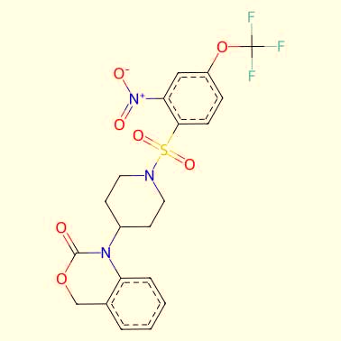 O=C1OCc2ccccc2N1C1CCN(S(=O)(=O)c2ccc(OC(F)(F)F)cc2[N+](=O)[O-])CC1